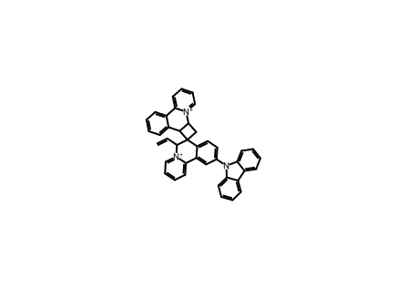 C=CC1[n+]2ccccc2-c2cc(-n3c4ccccc4c4ccccc43)ccc2C12CC1C2c2ccccc2-c2cccc[n+]21